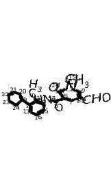 Cc1c(NC(=O)c2cc(C=O)cn(C)c2=O)cccc1-c1ccccc1